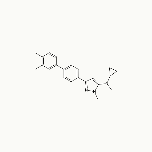 Cc1ccc(-c2ccc(-c3cc(N(C)C4CC4)n(C)n3)cc2)cc1C